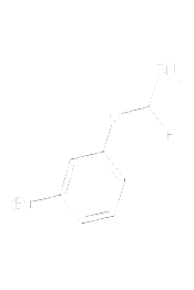 BC(F)Oc1cccc(C(C)(C)C)c1